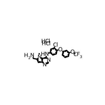 Cl.Cl.Cn1c(CN)cc2ncnc(Nc3ccc(Oc4cccc(OC(F)(F)F)c4)c(Cl)c3)c21